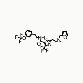 CN(CCc1nc(C(F)(F)F)c(C(=O)NCCc2cccc(OC(F)(F)F)c2)s1)Cc1ccco1